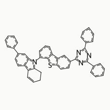 C1=Cc2c(n(-c3cccc4c3sc3ccc(-c5nc(-c6ccccc6)nc(-c6ccccc6)n5)cc34)c3cc(-c4ccccc4)ccc23)CC1